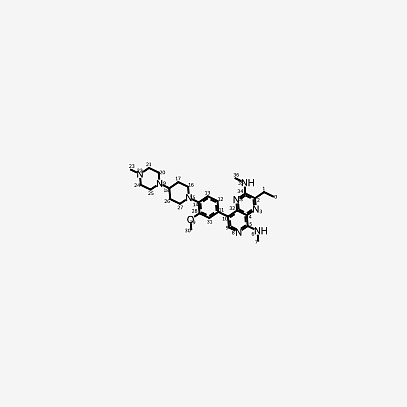 CCc1nc2c(NC)ncc(-c3ccc(N4CCC(N5CCN(C)CC5)CC4)c(OC)c3)c2nc1NC